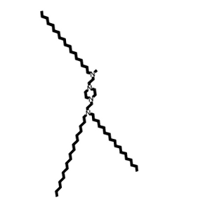 CCCCCCCCCCCCCCCCCCN(C)CCN1CCN(CCN(CCCCCCCCCCCCCCCCCC)CCCCCCCCCCCCCCCCCC)CC1